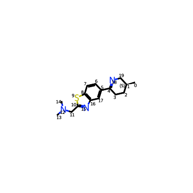 C[C@H]1CCC(c2ccc3sc(CN(C)C)nc3c2)=NC1